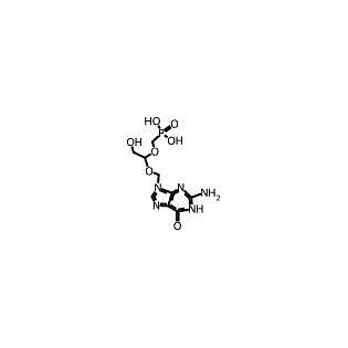 Nc1nc2c(ncn2COC(CO)OCP(=O)(O)O)c(=O)[nH]1